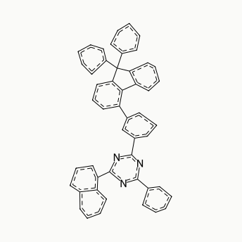 c1ccc(-c2nc(-c3cccc(-c4cccc5c4-c4ccccc4C5(c4ccccc4)c4ccccc4)c3)nc(-c3cccc4ccccc34)n2)cc1